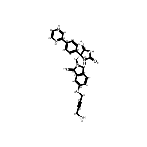 O=C1NC(=O)[C@](CN2Cc3ccc(OCC#CCO)cc3C2=O)(c2ccc(-c3cnccn3)cc2)N1